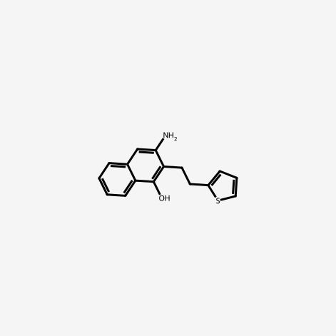 Nc1cc2ccccc2c(O)c1CCc1cccs1